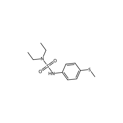 CCN(CC)S(=O)(=O)Nc1ccc(SC)cc1